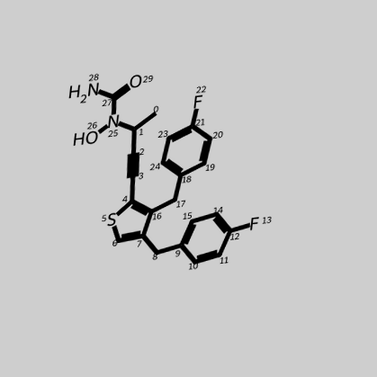 CC(C#Cc1scc(Cc2ccc(F)cc2)c1Cc1ccc(F)cc1)N(O)C(N)=O